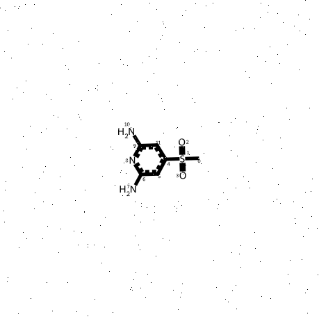 CS(=O)(=O)c1cc(N)nc(N)c1